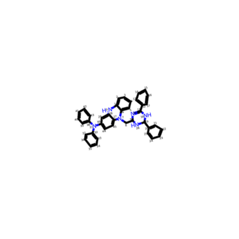 Nc1ccccc1N(CC1N=C(c2ccccc2)NC(c2ccccc2)N1)c1ccc(N(c2ccccc2)c2ccccc2)cc1